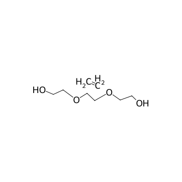 C=C.OCCOCCOCCO